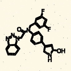 O=C(Cn1nnc2ccccc21)N(Cc1cc(F)cc(F)c1)c1ccc(C2=CC(O)NC2)cc1